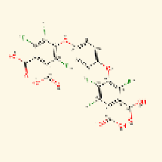 O=C(O)c1c(F)c(F)c(Oc2ccc(Oc3c(F)c(F)c(C(=O)O)c(C(=O)O)c3F)cc2)c(F)c1C(=O)O